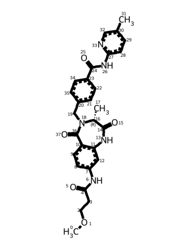 COCCC(=O)Nc1ccc2c(c1)NC(=O)[C@@H](C)N(Cc1ccc(C(=O)Nc3ccc(C)cn3)cc1)C2=O